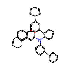 C1=CCCC(c2cccc(N(c3cccc(-c4ccccc4)c3)c3ccccc3-c3cc(-c4ccccc4)cc(-c4ccccc4)c3)c2)=C1